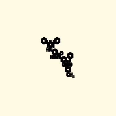 Cc1ccc(S(=O)(=O)N(Cc2ccccc2)c2ccc(NC(=O)c3ccc(Nc4nc(N5CCCCC5)nc(N5CCCCC5)n4)cc3O)cc2O)cc1